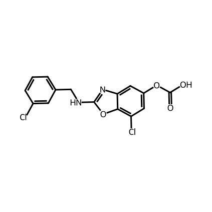 O=C(O)Oc1cc(Cl)c2oc(NCc3cccc(Cl)c3)nc2c1